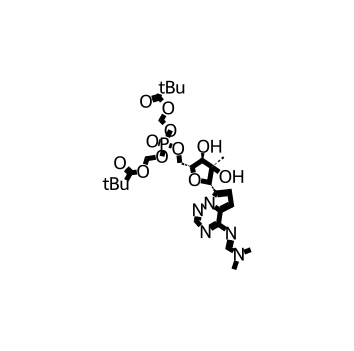 CN(C)/C=N/c1ncnn2c([C@@H]3O[C@H](COP(=O)(OCOC(=O)C(C)(C)C)OCOC(=O)C(C)(C)C)[C@@H](O)[C@@]3(C)O)ccc12